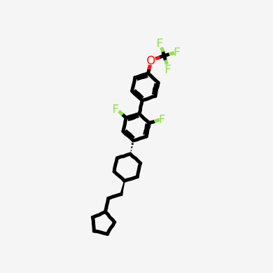 Fc1cc([C@H]2CC[C@H](CCC3CCCC3)CC2)cc(F)c1-c1ccc(OC(F)(F)F)cc1